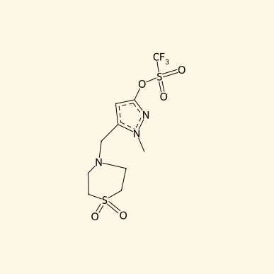 Cn1nc(OS(=O)(=O)C(F)(F)F)cc1CN1CCS(=O)(=O)CC1